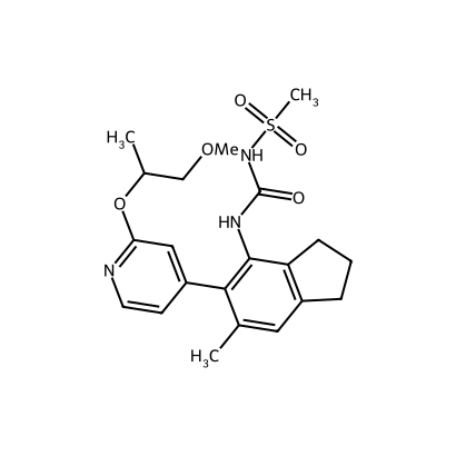 COCC(C)Oc1cc(-c2c(C)cc3c(c2NC(=O)NS(C)(=O)=O)CCC3)ccn1